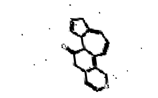 O=C1CC2C=COCC2=C2C=CC=C3CC=CC3C12